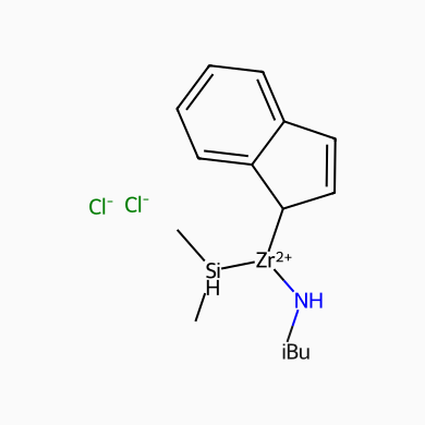 CCC(C)[NH][Zr+2]([CH]1C=Cc2ccccc21)[SiH](C)C.[Cl-].[Cl-]